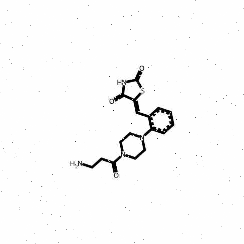 NCCC(=O)N1CCN(c2ccccc2/C=C2\SC(=O)NC2=O)CC1